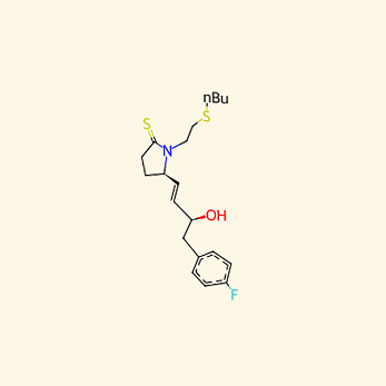 CCCCSCCN1C(=S)CC[C@@H]1/C=C/[C@@H](O)Cc1ccc(F)cc1